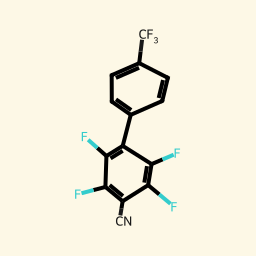 N#Cc1c(F)c(F)c(-c2ccc(C(F)(F)F)cc2)c(F)c1F